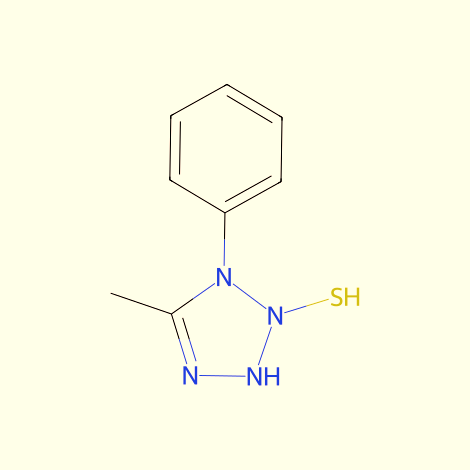 CC1=NNN(S)N1c1ccccc1